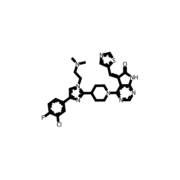 CN(C)CCn1cc(-c2ccc(F)c(Cl)c2)nc1C1CCN(c2ncnc3c2/C(=C/c2cncs2)C(=O)N3)CC1